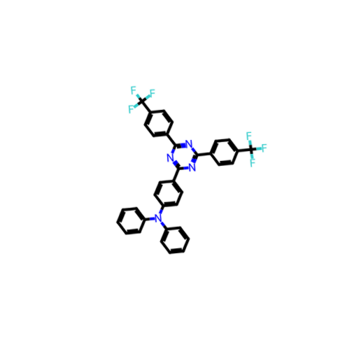 FC(F)(F)c1ccc(-c2nc(-c3ccc(N(c4ccccc4)c4ccccc4)cc3)nc(-c3ccc(C(F)(F)F)cc3)n2)cc1